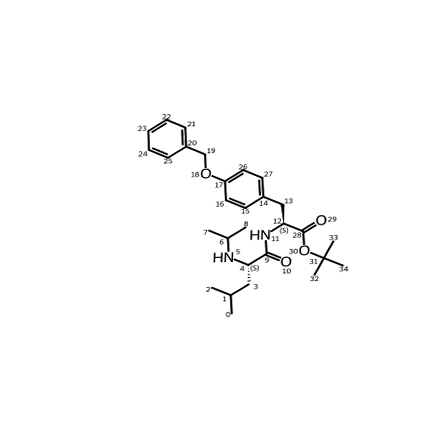 CC(C)C[C@H](NC(C)C)C(=O)N[C@@H](Cc1ccc(OCc2ccccc2)cc1)C(=O)OC(C)(C)C